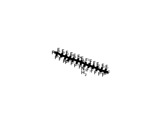 NC(F)(C(F)(F)C(F)(F)C(F)(F)C(F)(F)C(F)(F)F)C(F)(F)C(F)(F)C(F)(F)C(F)(F)C(F)(F)C(F)(F)C(F)(F)F